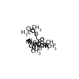 Cc1cc(OCCCc2c3n(c4c(-c5c(C)nn(C)c5C)cccc24)C(C)[C@@H](Cl)N(c2cn(C)c4ccc(-n5nccn5)nc24)C3=O)cc(C)c1Cl